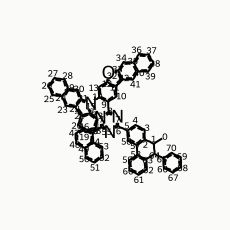 CC1c2ccc(-c3nc(-c4cc5c(cc4-n4c6ccccc6c6cc7ccccc7cc64)oc4cc6ccccc6cc45)nc(-c4cccc5ccccc45)n3)cc2-c2ccccc2C1c1ccccc1